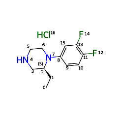 CC[C@H]1CNCCN1c1ccc(F)c(F)c1.Cl